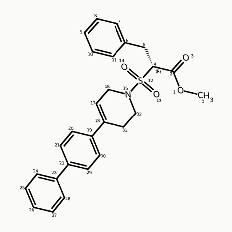 COC(=O)[C@@H](Cc1ccccc1)S(=O)(=O)N1CC=C(c2ccc(-c3ccccc3)cc2)CC1